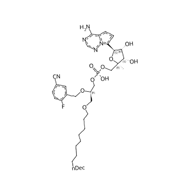 CCCCCCCCCCCCCCCCCCOC[C@H](COP(=O)(O)OC[C@@]1(C)O[C@@H](c2ccc3c(N)ncnn23)[C@H](O)[C@@H]1O)OCc1cc(C#N)ccc1F